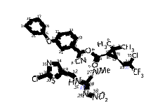 CC1(C)[C@H](C(=O)OC(C#N)c2cccc(Oc3ccccc3)c2)[C@@H]1/C=C(\Cl)C(F)(F)F.CN/C(=N\[N+](=O)[O-])NCc1cnc(Cl)s1